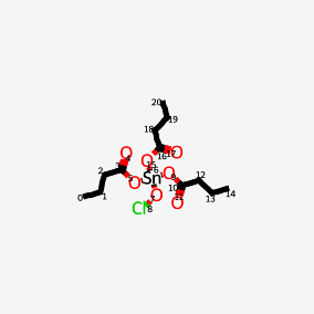 CCCC(=O)[O][Sn]([O]Cl)([O]C(=O)CCC)[O]C(=O)CCC